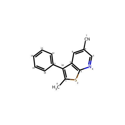 Cc1sc2ncc(C#N)cc2c1-c1ccccc1